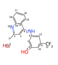 Br.Cc1cc(Nc2cc(O)cc(C(F)(F)F)c2)c2ccccc2n1